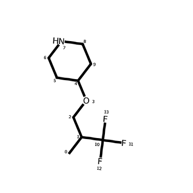 CC(COC1CCNCC1)C(F)(F)F